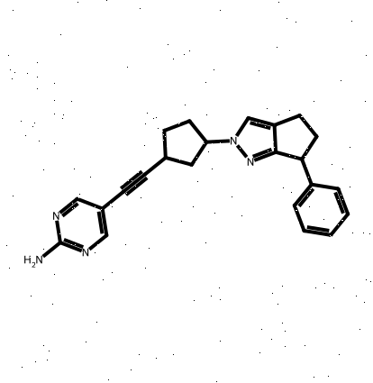 Nc1ncc(C#CC2CCC(n3cc4c(n3)C(c3ccccc3)CC4)C2)cn1